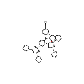 N#Cc1ccc2c(c1)c1ccccc1n2-c1ccc(-c2nc(-c3ccccc3)cc(-c3ccccc3)n2)cc1-c1cc(-c2ccccc2)nc(-c2ccccc2)n1